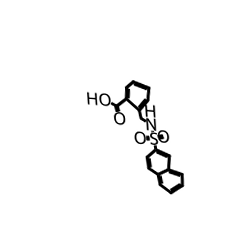 O=C(O)c1ccccc1CNS(=O)(=O)c1ccc2ccccc2c1